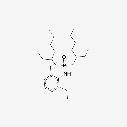 CCCCC(CC)CP(=O)(CC(CC)CCCC)Nc1c(CC)cccc1CC